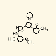 COc1ccc(C)c(Nc2ncc(-c3cc(-c4cccn(C)c4=O)cc(N4CCCCC4)c3)o2)c1